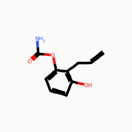 C=CCc1c(O)cccc1OC(N)=O